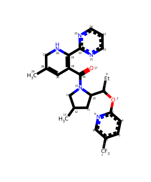 CCC(Oc1ccc(C(F)(F)F)cn1)C1CC(C)CN1C(=O)C1=C(c2ncccn2)NCC(C)=C1